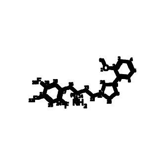 COc1ccccc1C1CCN(CC[C@H](N)Cc2cc(F)c(F)cc2F)C1